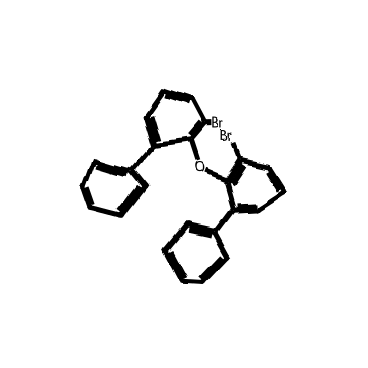 Brc1cccc(-c2ccccc2)c1Oc1c(Br)cccc1-c1ccccc1